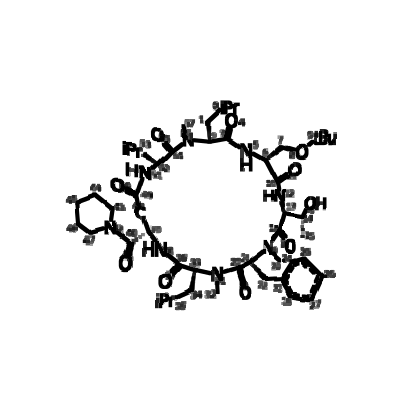 CC(C)C[C@H]1C(=O)N[C@@H](COC(C)(C)C)C(=O)N[C@@H]([C@@H](C)O)C(=O)N(C)[C@@H](Cc2ccccc2)C(=O)N(C)[C@@H](CC(C)C)C(=O)N[C@H](C(=O)N2CCCCC2)CC(=O)N[C@@H](C(C)C)C(=O)N1C